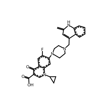 C=C1C=C(CN2CCN(c3cc4c(cc3F)c(=O)c(C(=O)O)cn4C3CC3)CC2)c2ccccc2N1